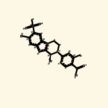 CCC(=O)c1cnc(N2CCn3c(nc4cc(CC)c(S(C)(=O)=O)cc43)[C@@H]2C(C)C)nc1C